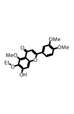 CCOc1c(O)cc2oc(-c3ccc(OC)c(OC)c3)cc(=O)c2c1OC